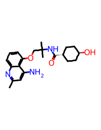 Cc1cc(N)c2c(OCC(C)(C)NC(=O)[C@H]3CC[C@H](O)CC3)cccc2n1